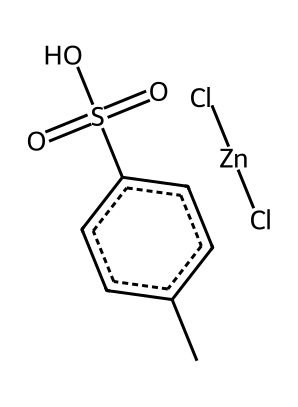 Cc1ccc(S(=O)(=O)O)cc1.[Cl][Zn][Cl]